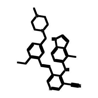 CCc1ccc(CN2CCN(C)CC2)cc1/C=C/c1cncc(C#N)c1Nc1ccc2[nH]ccc2c1C